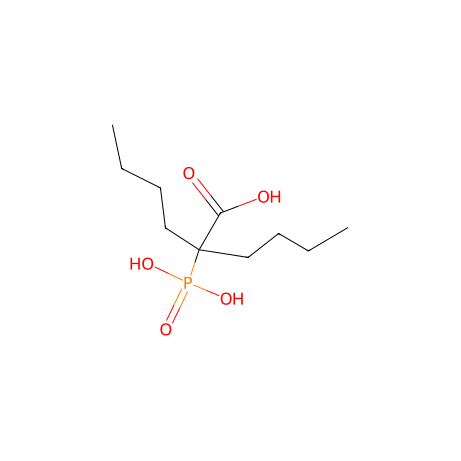 CCCCC(CCCC)(C(=O)O)P(=O)(O)O